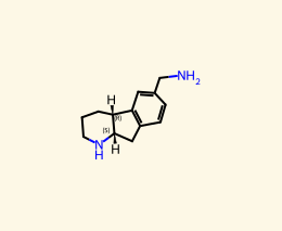 NCc1ccc2c(c1)[C@H]1CCCN[C@H]1C2